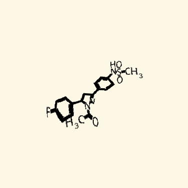 CC(=O)N1N=C(c2ccc(NS(C)(=O)=O)cc2)CC1c1ccc(F)cc1